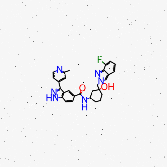 Cc1cc(-c2n[nH]c3ccc(C(=O)N[C@@H]4CCC[C@@](O)(Cn5cc6cccc(F)c6n5)C4)cc23)ccn1